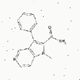 Cn1c(C(N)=O)c(-c2ccccc2)c2cnccc21